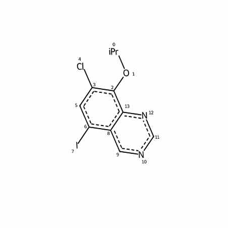 CC(C)Oc1c(Cl)cc(I)c2cncnc12